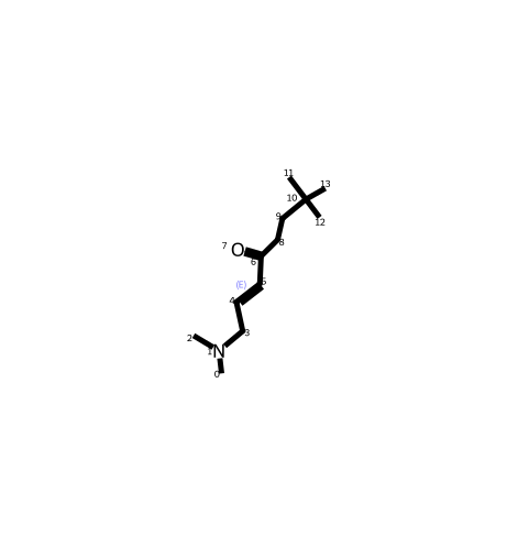 CN(C)C/C=C/C(=O)CCC(C)(C)C